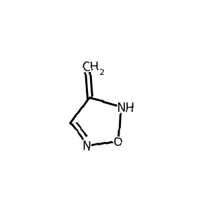 C=C1C=NON1